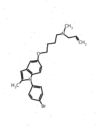 C=CCN(C)CCCCOc1ccc2c(c1)cc(C)n2-c1ccc(Br)cc1